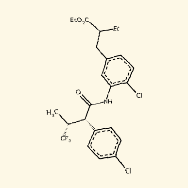 CCOC(=O)C(CC)Cc1ccc(Cl)c(NC(=O)[C@H](c2ccc(Cl)cc2)[C@@H](C)C(F)(F)F)c1